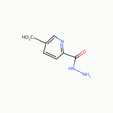 NNC(=O)c1ccc(C(=O)O)cn1